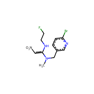 CN(Cc1ccc(Br)nc1)C(=C[N+](=O)[O-])NCCF